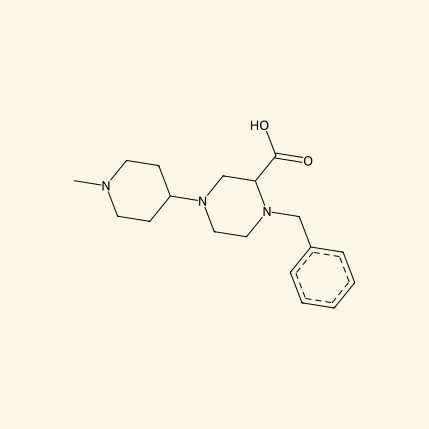 CN1CCC(N2CCN(Cc3ccccc3)C(C(=O)O)C2)CC1